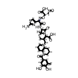 Nc1nc(/C(=N/O[C@@H](CN=O)C(=O)O)C(=O)N[C@@H]2C(=O)N3C(C(=O)O)=C(C[n+]4cccc5c4CCCN5C(=O)c4cc(O)c(O)c(F)c4)CS[C@H]23)cs1